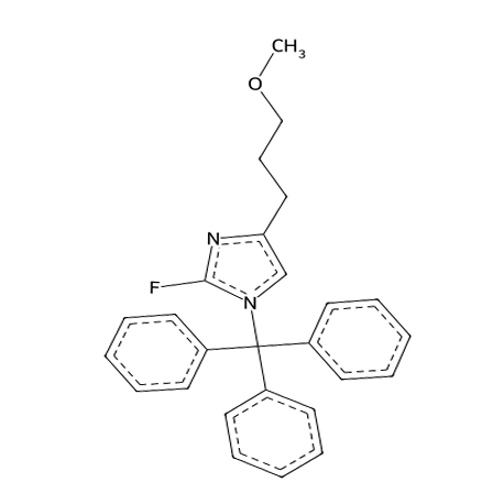 COCCCc1cn(C(c2ccccc2)(c2ccccc2)c2ccccc2)c(F)n1